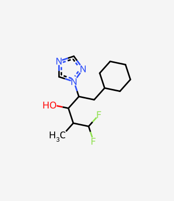 CC(C(F)F)C(O)C(CC1CCCCC1)n1cncn1